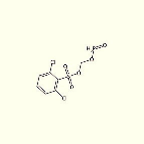 O=[PH2]OCOS(=O)(=O)c1c(Cl)cccc1Cl